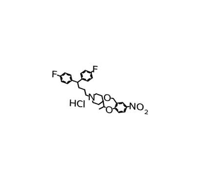 CC1Oc2ccc([N+](=O)[O-])cc2COC12CCN(CCCC(c1ccc(F)cc1)c1ccc(F)cc1)CC2.Cl